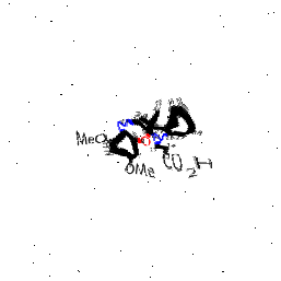 COc1cc(OC)c2c(c1)OC1(C=N2)N(CCC(=O)O)c2ccccc2C1(C)C